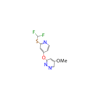 COc1cnnc(Oc2ccnc(SC(F)F)c2)c1